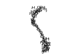 CC(C)(C)c1cc(NC(=O)Nc2ccc(-c3cn4c(n3)sc3ccc(OCCOCCOCCOCCNC(=O)CNc5cccc6c5C(=O)N(C5CCC(=O)NC5=O)C6=O)cc34)cc2)no1